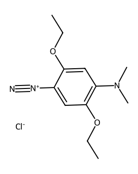 CCOc1cc(N(C)C)c(OCC)cc1[N+]#N.[Cl-]